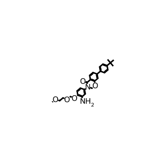 COCCOCOc1ccc(N2COc3cc(-c4ccc(C(C)(C)C)cc4)ccc3C2=O)cc1N